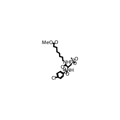 COC(=O)CCCCCCCNC(=O)C(COS(C)(=O)=O)NS(=O)(=O)c1ccc(Cl)cc1